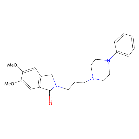 COc1cc2c(cc1OC)C(=O)N(CCCN1CCN(c3ccccc3)CC1)C2